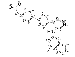 CC(OC(=O)Nc1cnnnc1-c1ccc(-c2ccc(CC(=O)O)cc2)cc1)c1ccccc1